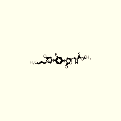 CCCCN1CN(c2ccc(N3C[C@H](CNC(=S)OC)OC3=O)cc2F)CC1=O